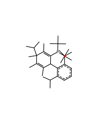 CC1=C(C)C(C)(C(C)C)C(C)=C(P(C(C)(C)C)C(C)(C)C)C1c1c(C(C)C)cccc1C(C)C